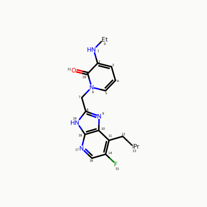 CCNc1cccn(Cc2nc3c(CC(C)C)c(F)cnc3[nH]2)c1=O